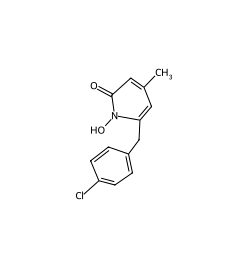 Cc1cc(Cc2ccc(Cl)cc2)n(O)c(=O)c1